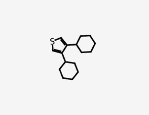 c1scc(C2CCCCC2)c1C1CCCCC1